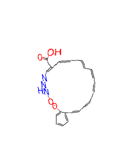 O=C(O)C1=C/N=N\NOOc2ccccc2/C=C\C=C/C=C\C=C/C=C/C=C\1